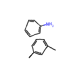 Cc1cccc(C)c1.Nc1ccccc1